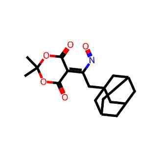 CC1(C)OC(=O)C(=C(CC23CC4CC(CC(C4)C2)C3)N=O)C(=O)O1